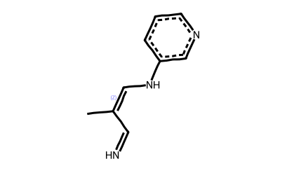 C/C(C=N)=C/Nc1cccnc1